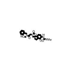 CNC(=O)NC1C=CC2=C(CC[C@]23CN(CC(=O)N(CC#N)Cc2ccccc2)C(=O)O3)C1=O